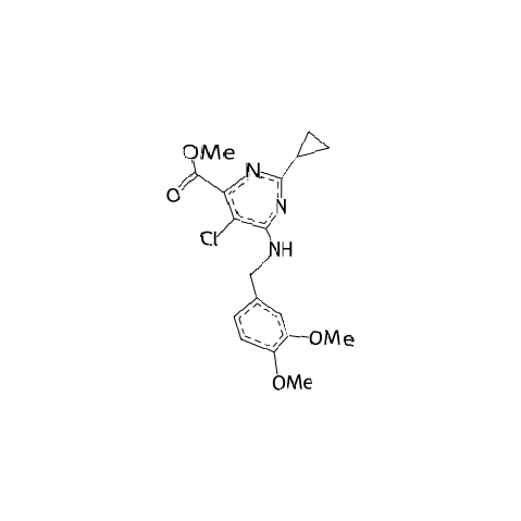 COC(=O)c1nc(C2CC2)nc(NCc2ccc(OC)c(OC)c2)c1Cl